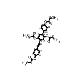 C=CC(=O)Oc1ccc(C#Cc2cc(OC(=O)C=C)c(-c3ccc(OC(=O)C=C)cc3)cc2OC(=O)C=C)cc1